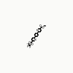 CCOC(=O)c1ccc(-c2ccc(-c3ccc(C(=O)O[C@@H](C)C(F)(F)F)cn3)cc2)nc1